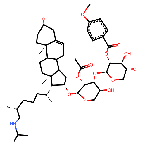 COc1ccc(C(=O)O[C@H]2[C@H](O[C@@H]3[C@@H](OC(C)=O)[C@H](O[C@H]4CC5C6CC=C7C[C@@H](O)CC[C@]7(C)C6CC[C@]5(C)[C@H]4[C@H](C)CCC[C@@H](C)CNC(C)C)OC[C@@H]3O)OC[C@@H](O)[C@@H]2O)cc1